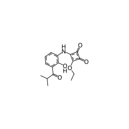 CCOc1c(Nc2cccc(C(=O)C(C)C)c2O)c(=O)c1=O